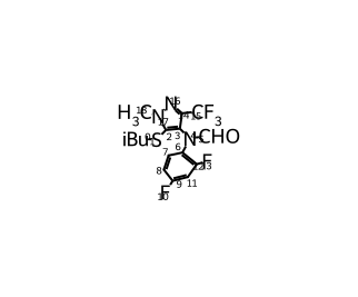 CCC(C)Sc1c(N(C=O)c2ccc(F)cc2F)c(C(F)(F)F)nn1C